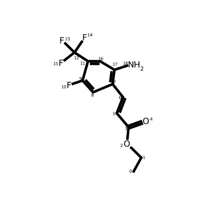 CCOC(=O)/C=C/c1cc(F)c(C(F)(F)F)cc1N